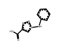 O=C(O)c1cn(Nc2ccccc2)nn1